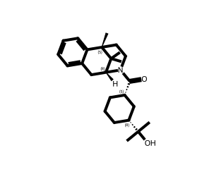 CC(C)(O)[C@@H]1CCC[C@H](C(=O)N2CC[C@@]3(C)c4ccccc4C[C@@H]2C3(C)C)C1